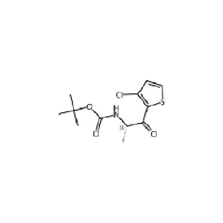 C[C@H](NC(=O)OC(C)(C)C)C(=O)c1sccc1Cl